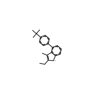 CCC1=C(C)c2c(cccc2-c2ccc(C(C)(C)C)cc2)[CH]1